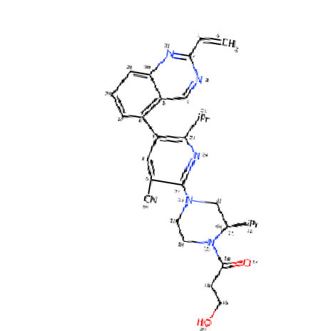 C=Cc1ncc2c(-c3cc(C#N)c(N4CCN(C(=O)CCO)[C@H](C(C)C)C4)nc3C(C)C)cccc2n1